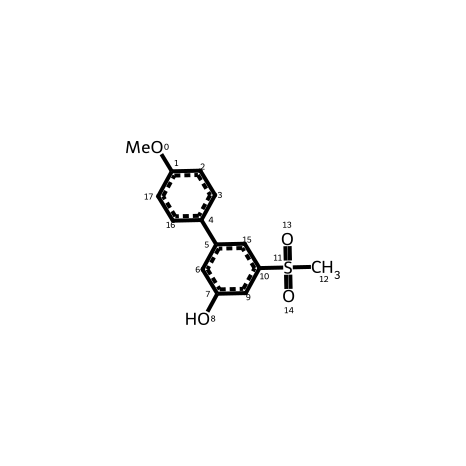 COc1ccc(-c2cc(O)cc(S(C)(=O)=O)c2)cc1